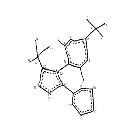 Cc1cc(C(C)(C)C)cc(C)c1-n1c(-c2ccccc2)nnc1C(C)(C)C